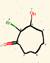 O=C1CCCCC(O)C1Br